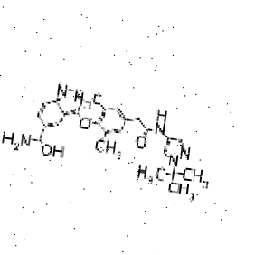 Cc1cc(CC(=O)Nc2cnn(C(C)(C)C)c2)cc(C)c1Oc1ccnc2ccc(C(N)O)cc12